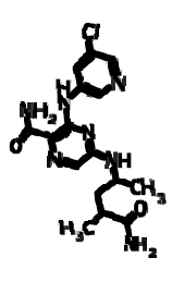 CC(CC(C)C(N)=O)Nc1cnc(C(N)=O)c(Nc2cncc(Cl)c2)n1